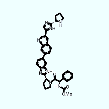 COC(=O)N[C@@H](C(=O)N1CCC[C@H]1c1nc2ccc(-c3ccc4cc(-c5cnc([C@@H]6CCCN6)[nH]5)cnc4c3)cc2[nH]1)c1ccccc1